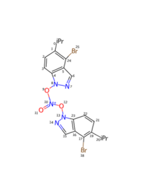 CC(C)c1ccc2c(cnn2O[N+](=O)On2ncc3c(Br)c(C(C)C)ccc32)c1Br